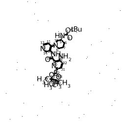 CC(C)(C)OC(=O)N[C@H]1CCCN(c2ccncc2NC(=O)c2nc(B3OC(C)(C)C(C)(C)O3)ccc2N)C1